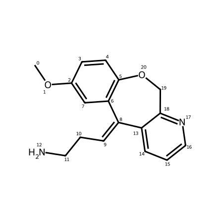 COc1ccc2c(c1)C(=CCCN)c1cccnc1CO2